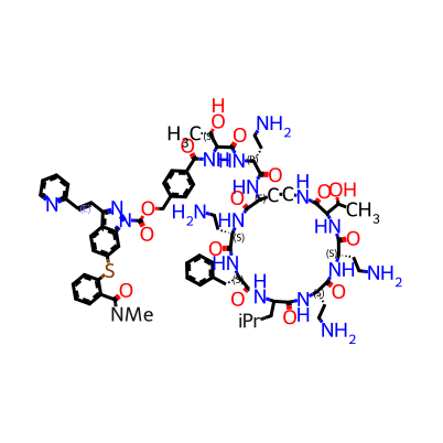 CNC(=O)c1ccccc1Sc1ccc2c(/C=C/c3ccccn3)nn(C(=O)OCc3ccc(C(=O)NC(C(=O)N[C@H](CCN)C(=O)N[C@H]4CCNC(=O)C(C(C)O)NC(=O)[C@H](CCN)NC(=O)[C@H](CCN)NC(=O)C(CC(C)C)NC(=O)[C@H](Cc5ccccc5)NC(=O)[C@H](CCN)NC4=O)[C@H](C)O)cc3)c2c1